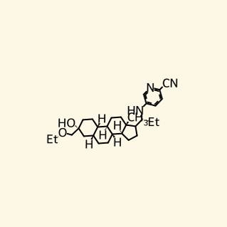 CCOC[C@@]1(O)CC[C@H]2[C@H](CC[C@@H]3[C@@H]2CC[C@]2(C)C([C@@H](CC)Nc4ccc(C#N)nc4)CC[C@@H]32)C1